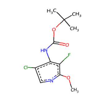 COc1ncc(Cl)c(NC(=O)OC(C)(C)C)c1F